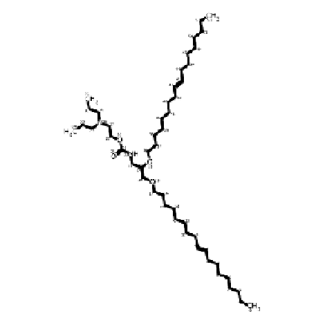 CCCCCCCCC=CCCCCCCCCOCC(CNC(=O)OCCN(CCC)CCC)OCCCCCCCCC=CCCCCCCCC